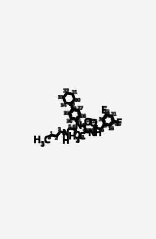 CCCCNCC(=O)N(C(=O)[C@H](C)NC(=O)Cc1cc(F)cc(F)c1)c1ccc(C2CCCCC2)cc1